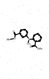 COC(=O)c1ccccc1N(C)c1cccc(C(=O)OC(C)(C)C)c1